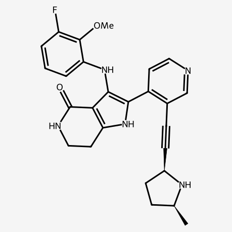 COc1c(F)cccc1Nc1c(-c2ccncc2C#C[C@@H]2CC[C@H](C)N2)[nH]c2c1C(=O)NCC2